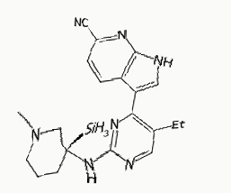 CCc1cnc(N[C@]2([SiH3])CCCN(C)C2)nc1-c1c[nH]c2nc(C#N)ccc12